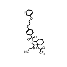 N#CCNC(=O)C1(OC(=O)C(F)(F)F)CCCCC1CS(=O)(=O)c1ccc(SCCOc2cccnc2)cc1